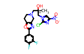 C[C@](O)(CN1CCc2oc(-c3ccc(F)c(F)c3)nc2C1)Cn1cc([N+](=O)[O-])nc1Cl